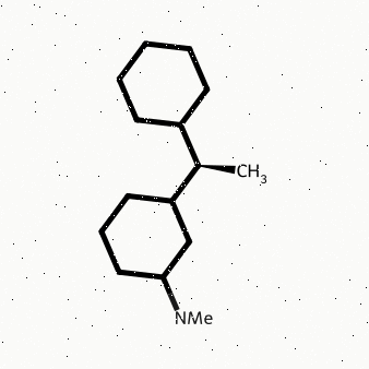 CNC1CCCC([C@H](C)C2CCCCC2)C1